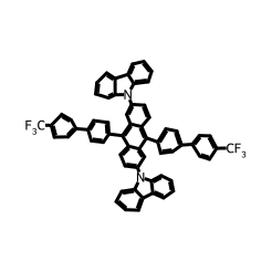 FC(F)(F)c1ccc(-c2ccc(-c3c4ccc(-n5c6ccccc6c6ccccc65)cc4c(-c4ccc(-c5ccc(C(F)(F)F)cc5)cc4)c4ccc(-n5c6ccccc6c6ccccc65)cc34)cc2)cc1